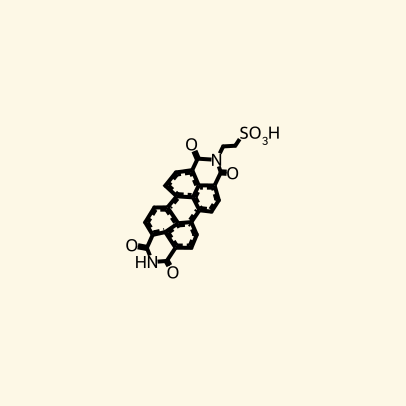 O=C1NC(=O)c2ccc3c4ccc5c6c(ccc(c7ccc1c2c73)c64)C(=O)N(CCS(=O)(=O)O)C5=O